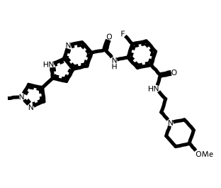 COC1CCN(CCNC(=O)c2ccc(F)c(NC(=O)c3cnc4[nH]c(-c5cnn(C)c5)cc4c3)c2)CC1